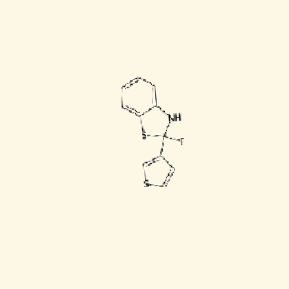 FC1(c2ccsc2)Nc2ccccc2S1